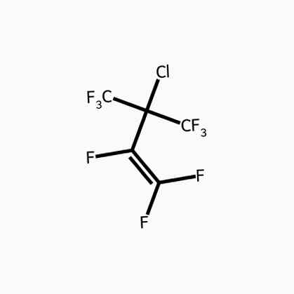 FC(F)=C(F)C(Cl)(C(F)(F)F)C(F)(F)F